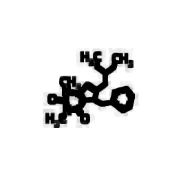 CCC(CC)CC1=Cc2c(c(=O)n(C)c(=O)n2C)C1Cc1ccccc1